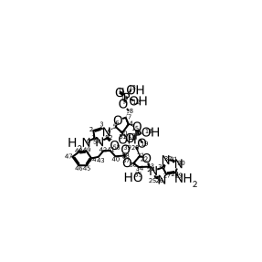 Nc1ccn([C@@H]2O[C@H](COP(=O)(O)O)[C@@H](OP(=O)(O)OC[C@H]3O[C@@H](n4cnc5c(N)ncnc54)[C@H](O)[C@@H]3OC(=O)CCCCc3ccccc3)[C@H]2O)c(=O)n1